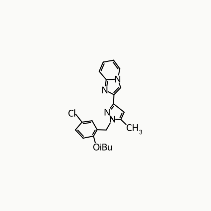 Cc1cc(-c2cn3ccccc3n2)nn1Cc1cc(Cl)ccc1OCC(C)C